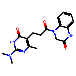 Cc1nc(N(C)C)[nH]c(=O)c1CCC(=O)N1CC(=O)Nc2ccccc21